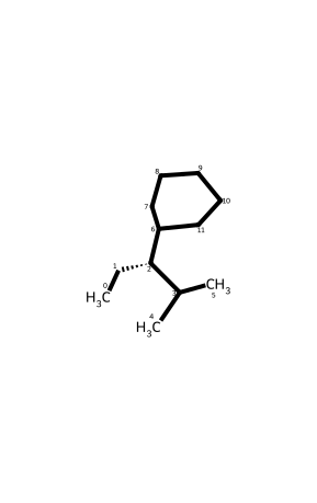 CC[C@@H](C(C)C)C1CCCCC1